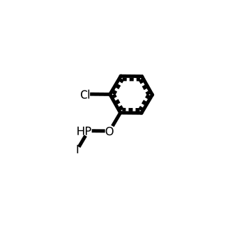 Clc1ccccc1OPI